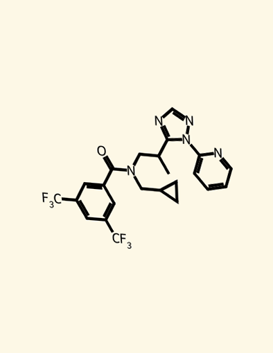 CC(CN(CC1CC1)C(=O)c1cc(C(F)(F)F)cc(C(F)(F)F)c1)c1ncnn1-c1ccccn1